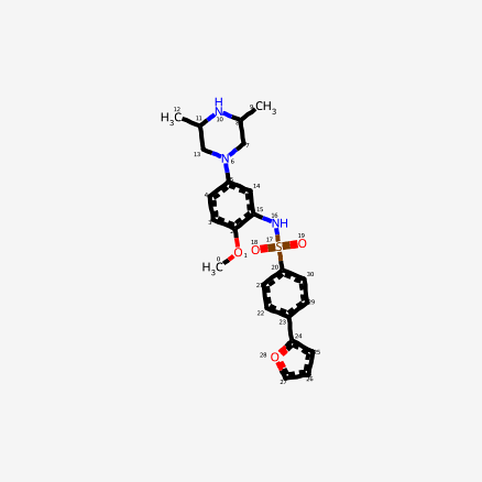 COc1ccc(N2CC(C)NC(C)C2)cc1NS(=O)(=O)c1ccc(-c2ccco2)cc1